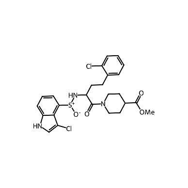 COC(=O)C1CCN(C(=O)C(CCc2ccccc2Cl)N[S+]([O-])c2cccc3[nH]cc(Cl)c23)CC1